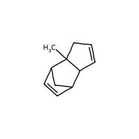 CC12CC=CC1C1C=CC2C1